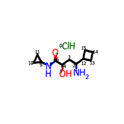 Cl.NC(CC(O)C(=O)NC1CC1)C1CCC1